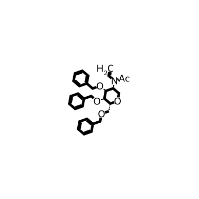 C=CN(C(C)=O)[C@@H]1CO[C@H](COCc2ccccc2)[C@H](OCc2ccccc2)[C@@H]1OCc1ccccc1